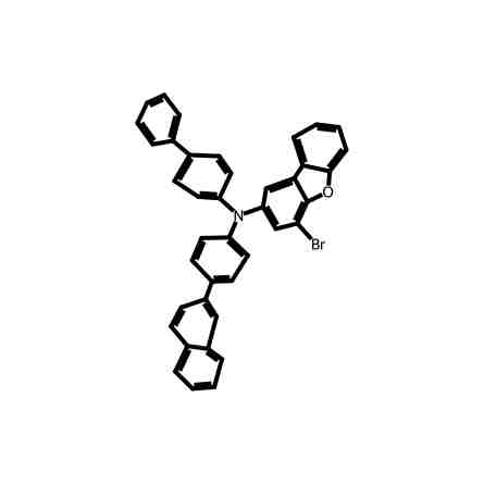 Brc1cc(N(c2ccc(-c3ccccc3)cc2)c2ccc(-c3ccc4ccccc4c3)cc2)cc2c1oc1ccccc12